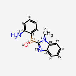 Cn1c([S+]([O-])c2ccccc2N)nc2ccccc21